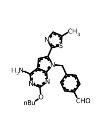 CCCCOc1nc(N)c2cc(-c3ncc(C)s3)n(Cc3ccc(C=O)cc3)c2n1